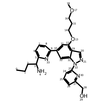 CCCC(N)c1cccc(-c2cc(OCCCOC)c3cnn(-c4cccc(CO)n4)c3c2)n1